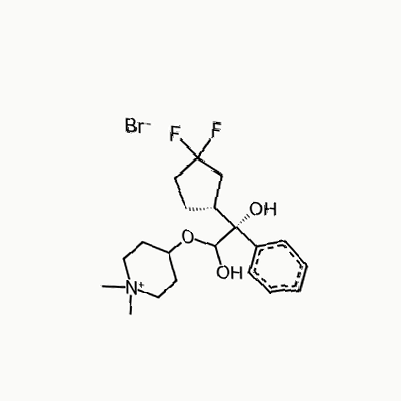 C[N+]1(C)CCC(OC(O)[C@](O)(c2ccccc2)[C@@H]2CCC(F)(F)C2)CC1.[Br-]